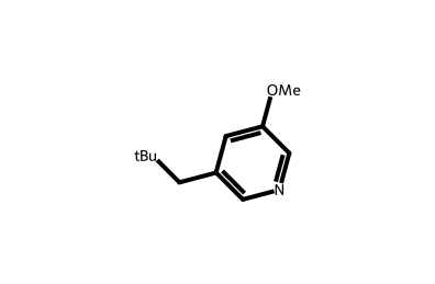 COc1cncc(CC(C)(C)C)c1